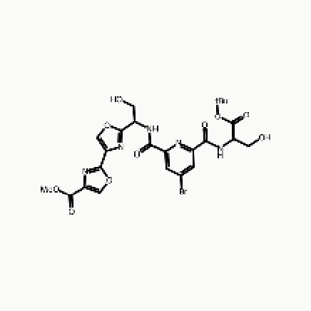 COC(=O)c1coc(-c2coc(C(CO)NC(=O)c3cc(Br)cc(C(=O)NC(CO)C(=O)OC(C)(C)C)n3)n2)n1